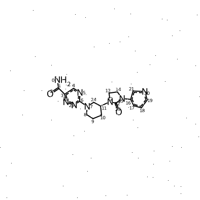 NC(=O)c1cnc(N2CCCC(N3CCN(c4cccnc4)C3=O)C2)nn1